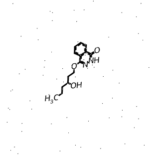 CCCC(O)CCOc1n[nH]c(=O)c2ccccc12